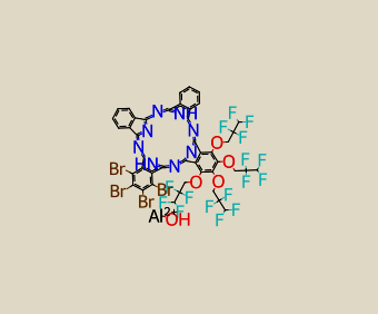 FC(F)C(F)(F)COc1c(OCC(F)(F)C(F)F)c(OCC(F)(F)C(F)F)c2c(c1OCC(F)(F)C(F)F)-c1nc-2nc2[nH]c(nc3nc(nc4[nH]c(n1)c1ccccc41)-c1ccccc1-3)c1c(Br)c(Br)c(Br)c(Br)c21.[OH][Al+2]